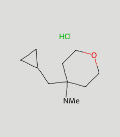 CNC1(CC2CC2)CCOCC1.Cl